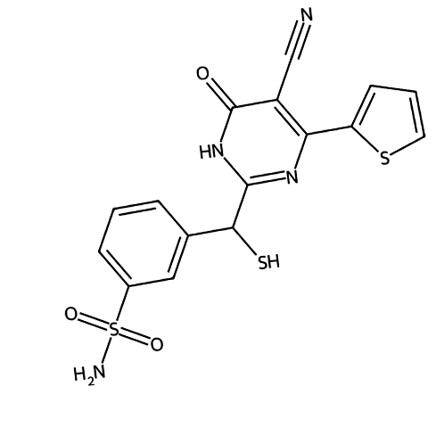 N#Cc1c(-c2cccs2)nc(C(S)c2cccc(S(N)(=O)=O)c2)[nH]c1=O